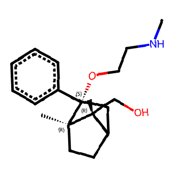 CNCCO[C@]1(c2ccccc2)CC2CC[C@]1(C)[C@]2(C)CO